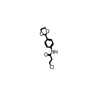 O=C(CCCl)Nc1ccc(C2OCCO2)cc1